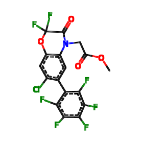 COC(=O)CN1C(=O)C(F)(F)Oc2cc(Cl)c(-c3c(F)c(F)c(F)c(F)c3F)cc21